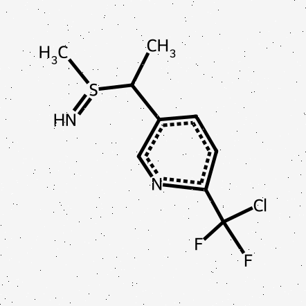 CC(c1ccc(C(F)(F)Cl)nc1)S(C)=N